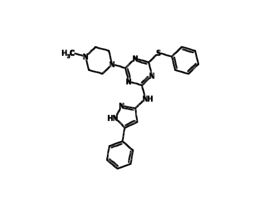 CN1CCN(c2nc(Nc3cc(-c4ccccc4)[nH]n3)nc(Sc3ccccc3)n2)CC1